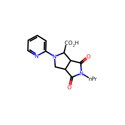 CCCN1C(=O)C2CN(c3ccccn3)C(C(=O)O)C2C1=O